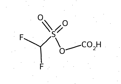 O=C(O)OS(=O)(=O)C(F)F